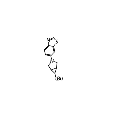 CC(C)(C)C1C2CN(c3ccc4ncsc4c3)CC21